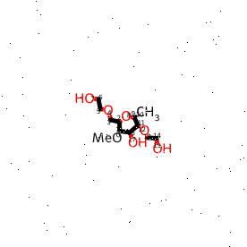 COC1C(COCCO)O[C@@H](C)C(OCCO)C1O